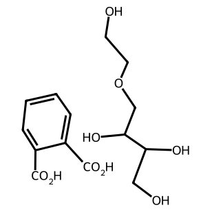 O=C(O)c1ccccc1C(=O)O.OCCOCC(O)C(O)CO